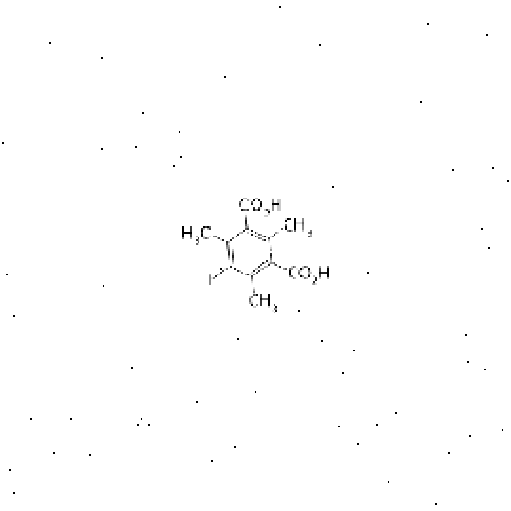 Cc1c(I)c(C)c(C(=O)O)c(C)c1C(=O)O